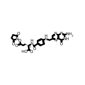 Nc1nc2ncc(CNc3ccc(C(=O)N[C@@H](CCC(=O)ON4C(=O)CCC4=O)C(=O)O)cc3)nc2c(=O)[nH]1